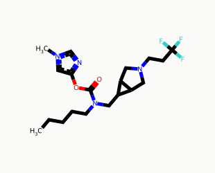 CCCCCN(CC1C2CN(CCC(F)(F)F)CC21)C(=O)Oc1cn(C)cn1